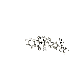 CC(C)(C)c1cc2[nH]c(C(C)(C)N3C(=O)c4ccccc4C3=O)nn2n1